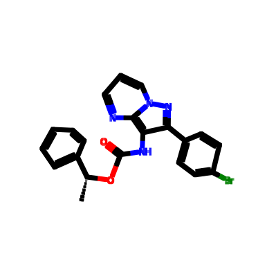 C[C@@H](OC(=O)Nc1c(-c2ccc(Br)cc2)nn2cccnc12)c1ccccc1